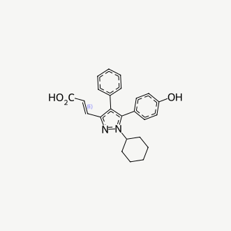 O=C(O)/C=C/c1nn(C2CCCCC2)c(-c2ccc(O)cc2)c1-c1ccccc1